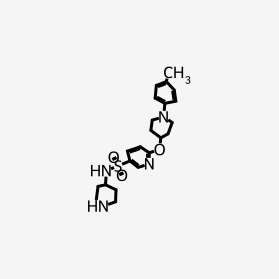 Cc1ccc(N2CCC(Oc3ccc(S(=O)(=O)NC4CCNCC4)cn3)CC2)cc1